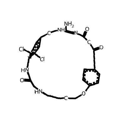 N/C1=N/C(=O)CC(=O)c2ccc(cc2)OCCCCNCC(=O)Nc2c(Cl)cc(cc2Cl)CN1